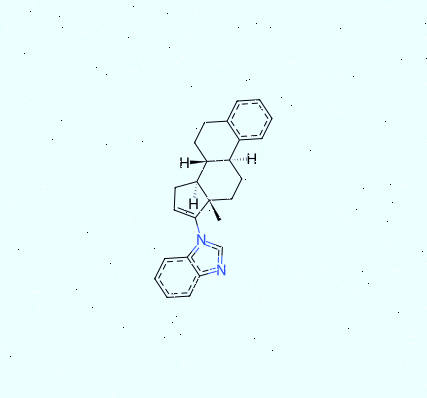 C[C@]12CC[C@@H]3c4ccccc4CC[C@H]3[C@@H]1CC=C2n1cnc2ccccc21